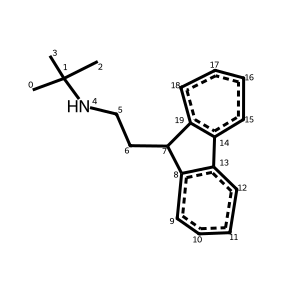 CC(C)(C)NCCC1c2ccccc2-c2ccccc21